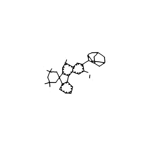 COc1cc2c3c(cc(O)c2cc1C1C2CC4CC(C2)CC1C4)C1(CC(C)(C)CC(C)(C)C1)c1ccccc1-3